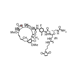 COc1cc2cc(c1Cl)N(C)C(=O)C[C@H](OC(=O)Nc1cc(F)c(NC(=O)[C@H](CCCNC(N)=O)NC(=O)[C@@H](NC(=S)NCCCCN3C(=O)C=CC3=O)C(C)C)cc1F)[C@]1(C)CC[C@H]1[C@H](C)[C@@H]1C[C@@](O)(NC(=O)O1)[C@H](OC)/C=C/C=C(\C)C2